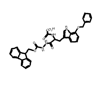 O=C(NNC(=O)C(Cc1c[nH]c2c(OCc3ccccc3)cccc12)NC(=O)C(=O)O)OCC1c2ccccc2-c2ccccc21